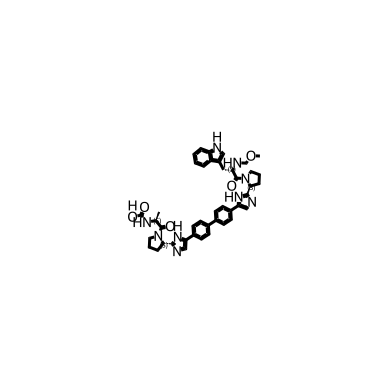 COCN[C@@H](Cc1c[nH]c2ccccc12)C(=O)N1CCC[C@H]1c1ncc(-c2ccc(-c3ccc(-c4cnc([C@@H]5CCCN5C(=O)[C@H](C)NC(=O)O)[nH]4)cc3)cc2)[nH]1